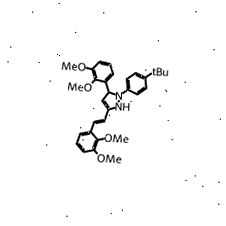 COc1cccc(C=CC2=CC(c3cccc(OC)c3OC)N(c3ccc(C(C)(C)C)cc3)N2)c1OC